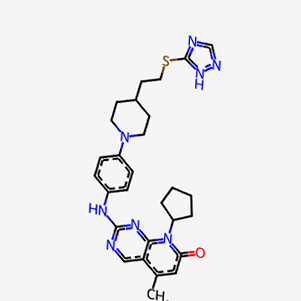 Cc1cc(=O)n(C2CCCC2)c2nc(Nc3ccc(N4CCC(CCSc5ncn[nH]5)CC4)cc3)ncc12